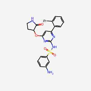 CC(C)c1ccccc1-c1cc(OC2CCNC2=O)nc(NS(=O)(=O)c2cccc(N)c2)n1